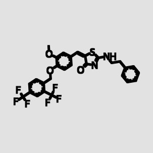 COc1cc(C=C2SC(NCCc3ccccc3)=NC2=O)ccc1OCc1ccc(C(F)(F)F)cc1C(F)(F)F